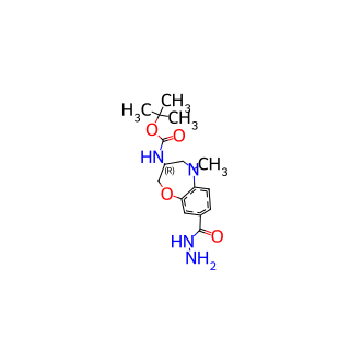 CN1C[C@@H](NC(=O)OC(C)(C)C)COc2cc(C(=O)NN)ccc21